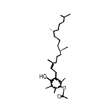 CC(=O)Oc1c(C)c(C)c(O)c(C/C=C(/C)CCC[C@H](C)CCC[C@H](C)CCCC(C)C)c1C